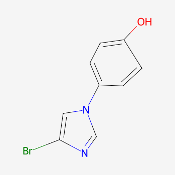 Oc1ccc(-n2cnc(Br)c2)cc1